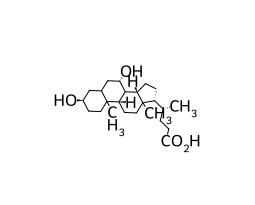 C[C@H](CCC(=O)O)[C@H]1CC[C@H]2C3[C@@H](O)CC4C[C@H](O)CCC4(C)[C@H]3CCC12C